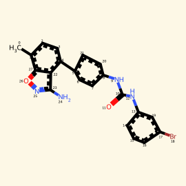 Cc1ccc(-c2ccc(NC(=O)Nc3cccc(Br)c3)cc2)c2c(N)noc12